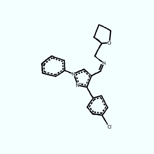 Clc1ccc(-c2nn(-c3ccccc3)cc2/C=N\CC2CCCO2)cc1